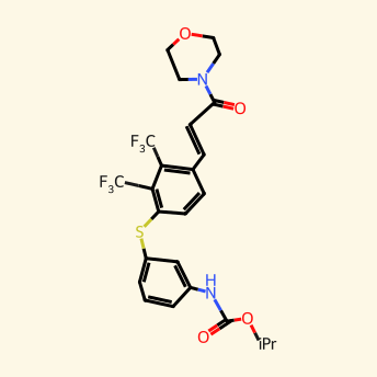 CC(C)OC(=O)Nc1cccc(Sc2ccc(/C=C/C(=O)N3CCOCC3)c(C(F)(F)F)c2C(F)(F)F)c1